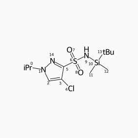 CC(C)n1cc(Cl)c(S(=O)(=O)N[Si](C)(C)C(C)(C)C)n1